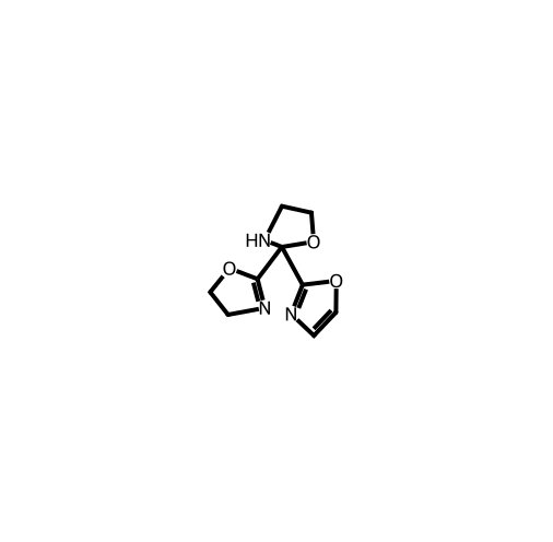 c1coc(C2(C3=NCCO3)NCCO2)n1